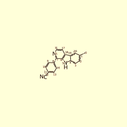 Cc1ccc2[nH]c3c(-c4ccc(C#N)cc4)nccc3c2c1